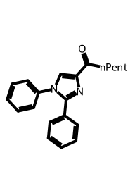 CCCCCC(=O)c1cn(-c2ccccc2)c(-c2ccccc2)n1